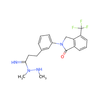 CNN(C)C(=N)CCc1cccc(N2Cc3c(cccc3C(F)(F)F)C2=O)c1